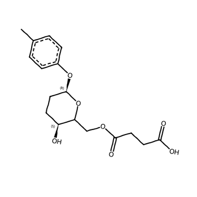 Cc1ccc(O[C@@H]2CC[C@H](O)C(COC(=O)CCC(=O)O)O2)cc1